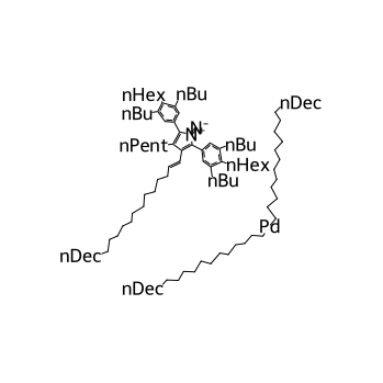 CCCCCCCCCCCCCCCCCCCCCC=CC1=C(c2cc(CCCC)c(CCCCCC)c(CCCC)c2)[N+](=[N-])C(c2cc(CCCC)c(CCCCCC)c(CCCC)c2)=C1CCCCC.CCCCCCCCCCCCCCCCCCCCC[CH2][Pd][CH2]CCCCCCCCCCCCCCCCCCCCC